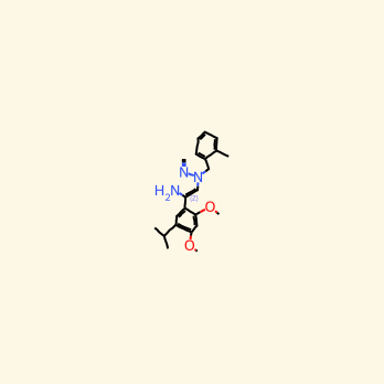 C=NN(/C=C(\N)c1cc(C(C)C)c(OC)cc1OC)Cc1ccccc1C